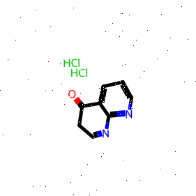 Cl.Cl.O=C1CC=Nc2ncccc21